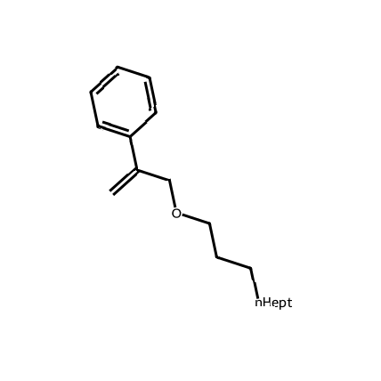 C=C(COCCCCCCCCCC)c1ccccc1